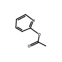 CC(=O)Oc1[c]cccn1